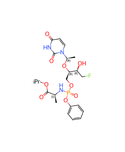 CC(C)OC(=O)[C@H](C)NP(=O)(OC[C@@H](O[C@H](C)n1ccc(=O)[nH]c1=O)[C@@H](O)CF)Oc1ccccc1